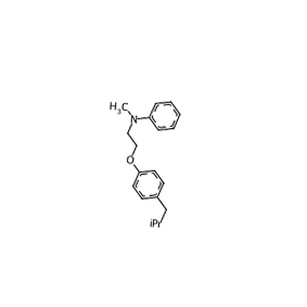 CC(C)Cc1ccc(OCCN(C)c2ccccc2)cc1